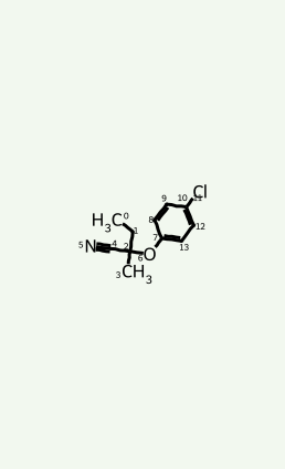 CCC(C)(C#N)Oc1ccc(Cl)cc1